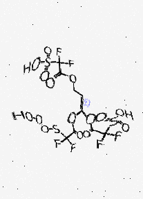 O=C(O/C(=C\COC(=O)C(F)(F)S(=O)(=O)O)OC(=O)C(F)(F)S(=O)(=O)O)C(F)(F)SOOO